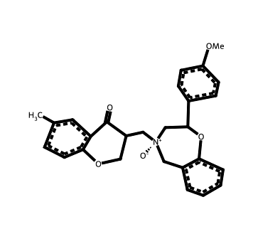 COc1ccc(C2C[N@+]([O-])(CC3COc4ccc(C)cc4C3=O)Cc3ccccc3O2)cc1